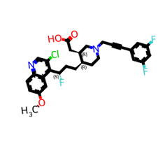 COc1ccc2ncc(Cl)c([C@@H](F)CC[C@@H]3CCN(CC#Cc4cc(F)cc(F)c4)C[C@@H]3CC(=O)O)c2c1